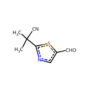 CC(C)(C#N)c1ncc([C]=O)s1